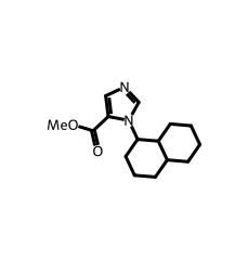 COC(=O)c1cncn1C1CCCC2CCCCC21